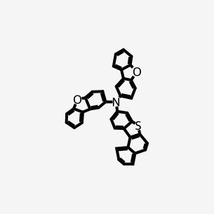 c1ccc2c(c1)ccc1sc3cc(N(c4ccc5oc6ccccc6c5c4)c4ccc5oc6ccccc6c5c4)ccc3c12